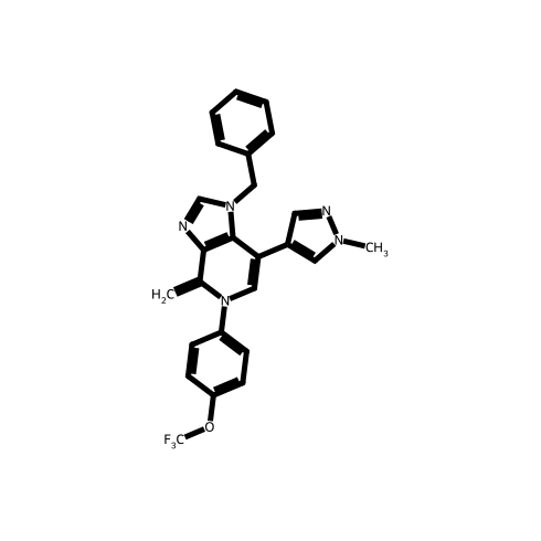 C=C1c2ncn(Cc3ccccc3)c2C(c2cnn(C)c2)=CN1c1ccc(OC(F)(F)F)cc1